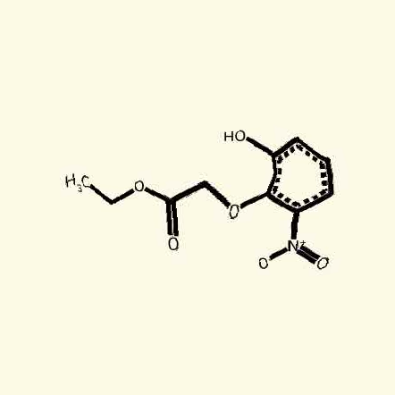 CCOC(=O)COc1c(O)cccc1[N+](=O)[O-]